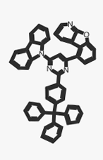 c1ccc(C(c2ccccc2)(c2ccccc2)c2ccc(-c3nc(-c4cccc5oc6ncccc6c45)cc(-n4c5ccccc5c5ccccc54)n3)cc2)cc1